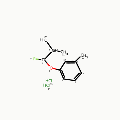 Cc1cccc([O][Ti]([F])[SiH](C)C)c1.Cl.Cl